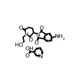 Nc1ccc2c(c1)C(=O)N(C1CCC(=O)N(CCO)C1=O)C2=O.O=C(O)c1cccnc1